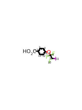 O=C(O)c1ccc(OC(F)(F)C(F)I)cc1